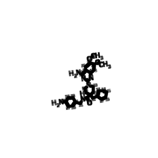 COc1cc2nc(N3CCC(Cc4ccccc4)(C(=O)NCc4ccc(N)cc4)CC3)nc(N)c2cc1OC